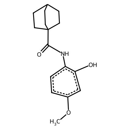 COc1ccc(NC(=O)C23CCC(CC2)CC3)c(O)c1